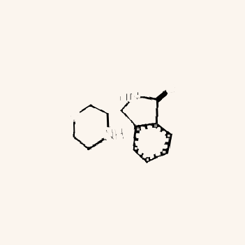 C1COCCN1.O=C1NCc2ccccc21